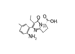 CCc1c(-c2cc(C)ccc2N)nc2n(c1=O)[C@H](C(=O)O)CC2